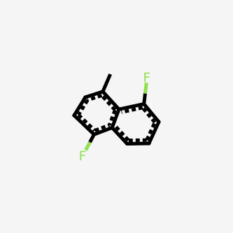 Cc1ccc(F)c2cccc(F)c12